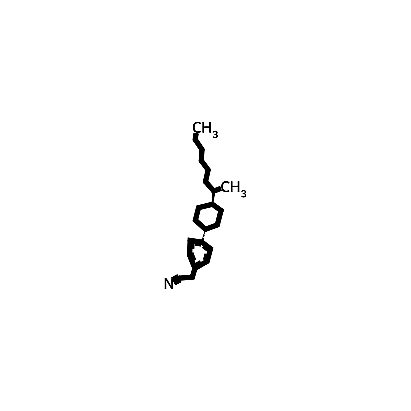 CCCCCCC(C)[C@H]1CC[C@H](c2ccc(CC#N)cc2)CC1